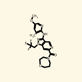 COc1cnc(Nc2nn(CC(F)(F)F)c3cc(C(=O)N4CCCOCC4)ncc23)c(C)c1